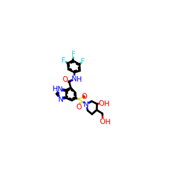 O=C(Nc1cc(F)c(F)c(F)c1)c1cc(S(=O)(=O)N2CCC(CO)C(O)C2)cc2nc[nH]c12